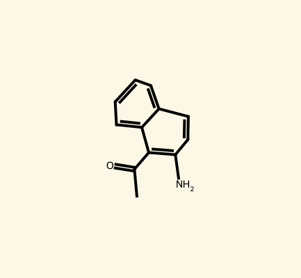 CC(=O)c1c(N)ccc2ccccc12